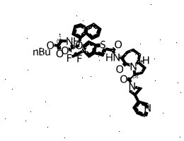 CCCCOC(=O)[C@H](C)NP(=O)(Oc1cccc2ccccc12)C(F)(F)c1ccc2sc(C(=O)N[C@H]3CCC[C@H]4CC[C@@H](C(=O)N5CC(c6cccnc6)C5)N4C3=O)cc2c1